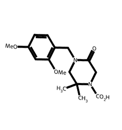 COc1ccc(CN2CC(C)(C)N(C(=O)O)CC2=O)c(OC)c1